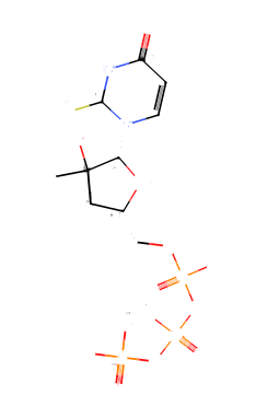 CC1(O)[C@@H](O)[C@@H](COP(=O)(O)OP(=O)(O)OP(=O)(O)O)O[C@H]1N1C=CC(=O)NC1S